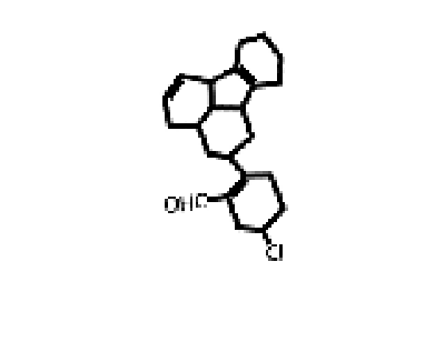 O=CC1=C(C2CC3CC=CC4C5=C(CCCC5)C(C2)C34)CCC(Cl)C1